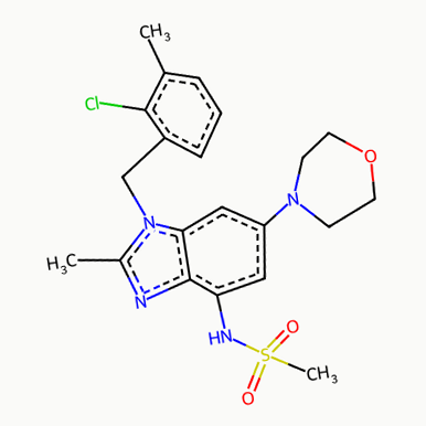 Cc1cccc(Cn2c(C)nc3c(NS(C)(=O)=O)cc(N4CCOCC4)cc32)c1Cl